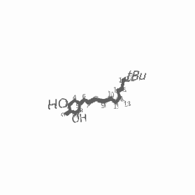 C=C1[C@H](O)CC(=C/C=C/CCC[C@@H](C)CCCC(C)(C)C)C[C@H]1O